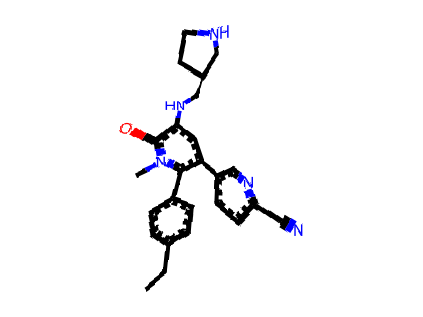 CCc1ccc(-c2c(-c3ccc(C#N)nc3)cc(NC[C@H]3CCNC3)c(=O)n2C)cc1